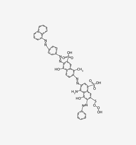 Cc1c(N=Nc2cc(S(=O)(=O)O)c3cc(SOOO)c(N=Nc4ccccc4)c(O)c3c2N)ccc2c(O)c(N=Nc3ccc(N=Nc4cccc5ccccc45)cc3)c(S(=O)(=O)O)cc12